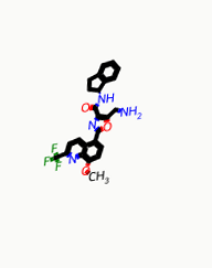 COc1ccc(-c2nc(C(=O)N[C@@H]3CCc4ccccc43)c(CN)o2)c2ccc(C(F)(F)F)nc12